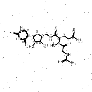 N=C(N)NCC(=O)N(O)[C@@H](CCC(N)=O)C(=O)NC[C@H]1O[C@@H](c2c[nH]c(=O)[nH]c2=O)[C@H](O)[C@@H]1O